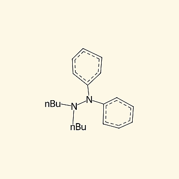 CCCCN(CCCC)N(c1ccccc1)c1ccccc1